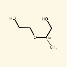 C[C@@H](CO)OCCO